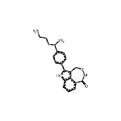 BC(CCCN)c1ccc(-c2[nH]c3cccc4c3c2CONC4=O)cc1